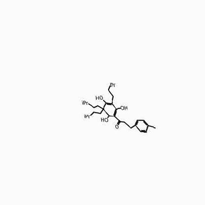 Cc1ccc(CCC(=O)C2=C(O)C(CCC(C)C)=C(O)C(CCC(C)C)(CCC(C)C)C2O)cc1